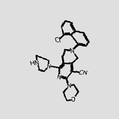 N#Cc1c(N2CCOCC2)nc(N2CCNCC2)c2c1CN(c1cccc3cccc(Cl)c13)CC2